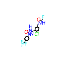 O=C(CF)NCc1ccc(Cl)c(-c2nn(-c3ccc(C(F)(F)F)cc3)c(=O)[nH]2)c1